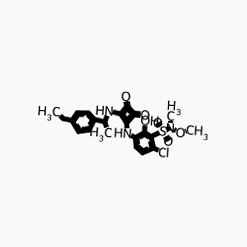 CCc1ccc(C(C)Nc2c(Nc3ccc(Cl)c(S(=O)(=O)N(C)OC)c3O)c(=O)c2=O)cc1